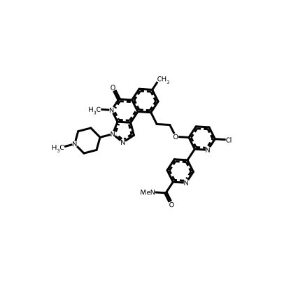 CNC(=O)c1ccc(-c2nc(Cl)ccc2OCCc2cc(C)cc3c(=O)n(C)c4c(cnn4C4CCN(C)CC4)c23)cn1